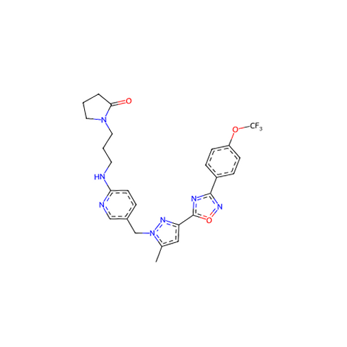 Cc1cc(-c2nc(-c3ccc(OC(F)(F)F)cc3)no2)nn1Cc1ccc(NCCCN2CCCC2=O)nc1